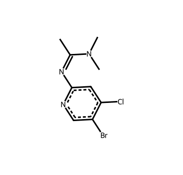 CC(=Nc1cc(Cl)c(Br)cn1)N(C)C